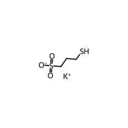 O=S(=O)([O-])CCCS.[K+]